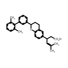 CC(C)=CC(CC(=O)O)c1ccc2c(c1)CCC(c1cccc(-c3c(C)cccc3C)c1)O2